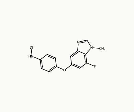 Cn1cnc2cc(Oc3ccc(NCl)cc3)cc(F)c21